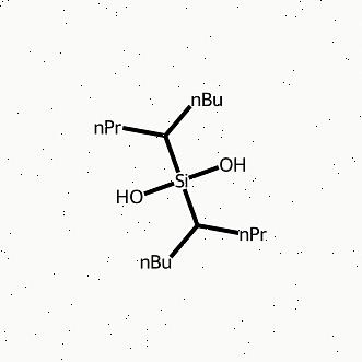 CCCCC(CCC)[Si](O)(O)C(CCC)CCCC